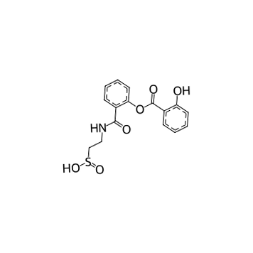 O=C(Oc1ccccc1C(=O)NCCS(=O)O)c1ccccc1O